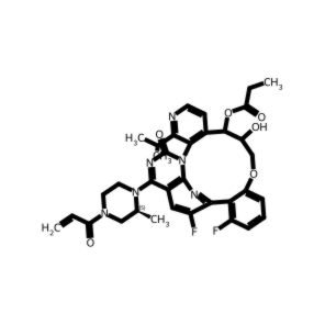 C=CC(=O)N1CCN(c2nc(=O)n3c4nc(c(F)cc24)-c2c(F)cccc2OCC(O)C(OC(=O)CC)c2ccnc(C(C)C)c2-3)[C@@H](C)C1